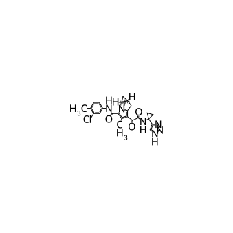 Cc1ccc(NC(=O)c2c(C)c(C(=O)C(=O)NC3(c4c[nH]nn4)CC3)c3n2[C@@H]2C[C@@H]2C3)cc1Cl